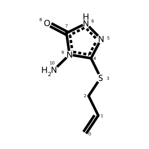 C=CCSc1n[nH]c(=O)n1N